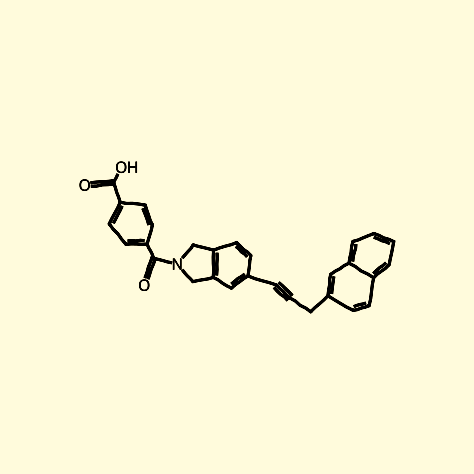 O=C(O)c1ccc(C(=O)N2Cc3ccc(C#CCc4ccc5ccccc5c4)cc3C2)cc1